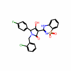 O=C1C(C2=NS(=O)(=O)c3ccccc3N2)=C(O)C(c2ccc(F)cc2)N1Cc1ccccc1Cl